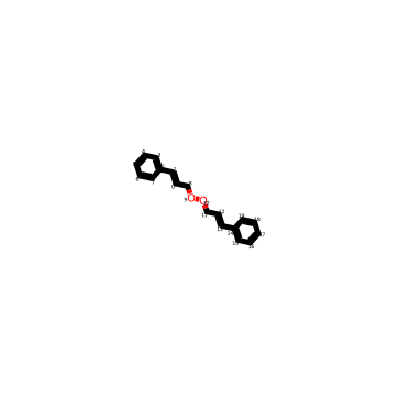 C(=Cc1ccccc1)COOCC=Cc1ccccc1